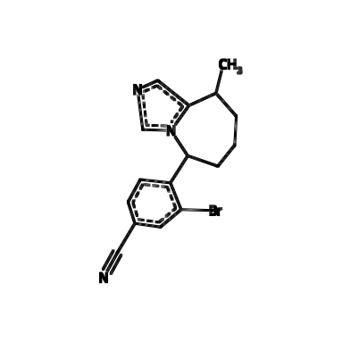 CC1CCCC(c2ccc(C#N)cc2Br)n2cncc21